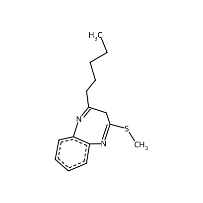 CCCCCC1=Nc2ccccc2N=C(SC)C1